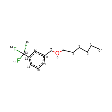 [CH2]CCCCCOCc1cccc(C(F)(F)F)c1